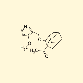 COc1ccncc1COC1C2CC3CC(C2)CC1(C(C)=O)C3